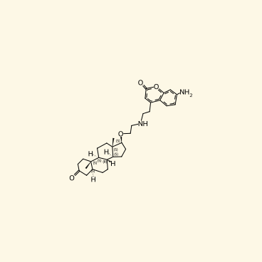 C[C@]12CCC(=O)C[C@@H]1CC[C@@H]1[C@@H]2CC[C@]2(C)[C@@H](OCCNCCc3cc(=O)oc4cc(N)ccc34)CC[C@@H]12